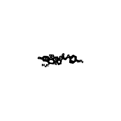 C[C@H]1C[C@@H]2[C@H]([C@@H](O)C[C@]3(C)[C@@H](C(=O)COc4ccc(N)cc4)CC[C@@H]23)[C@@]2(C)C=CC(=O)C=C12